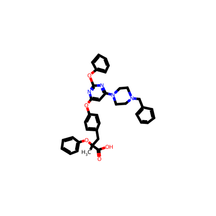 CC(Cc1ccc(Oc2cc(N3CCN(Cc4ccccc4)CC3)nc(Oc3ccccc3)n2)cc1)(Oc1ccccc1)C(=O)O